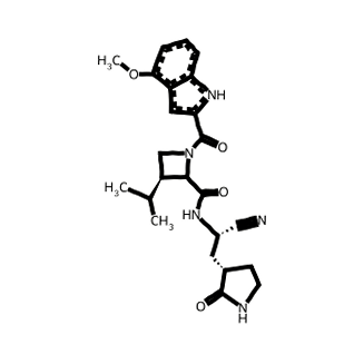 COc1cccc2[nH]c(C(=O)N3C[C@H](C(C)C)C3C(=O)N[C@H](C#N)C[C@@H]3CCNC3=O)cc12